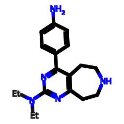 CCN(CC)c1nc2c(c(-c3ccc(N)cc3)n1)CCNCC2